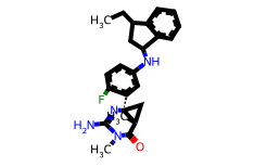 CCC1CC(Nc2ccc(F)c([C@]34CC3(C)C(=O)N(C)C(N)=N4)c2)c2ccccc21